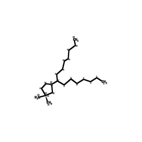 CCCCCCCC(CCCCCCC)N1CC[C@](C)(N)C1